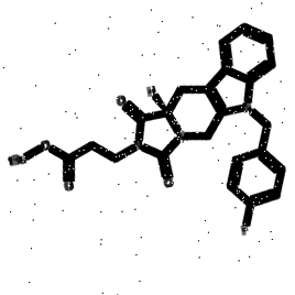 CC(C)(C)OC(=O)CCN1C(=O)[C@@H]2Cc3c(n(Cc4ccc(F)cc4)c4ccccc34)CN2C1=O